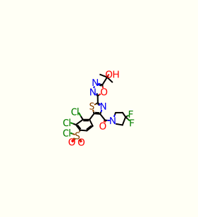 CC(C)(O)c1nnc(-c2nc(C(=O)N3CCC(F)(F)CC3)c(-c3ccc(S(=O)(=O)Cl)c(Cl)c3Cl)s2)o1